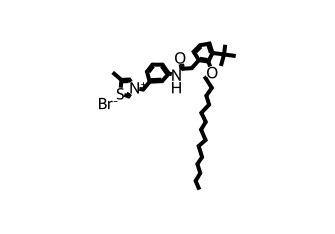 CCCCCCCCCCCCCCOc1c(CC(=O)Nc2cccc(C[n+]3csc(C)c3)c2)cccc1C(C)(C)C.[Br-]